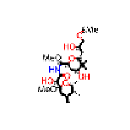 C=C1C[C@](OC)([C@H](O)C(=O)N[C@@H](OC)[C@@H]2C[C@@H](O)C(C)(C)[C@@H](C[C@H](O)COSC)O2)O[C@H](C)[C@@H]1C